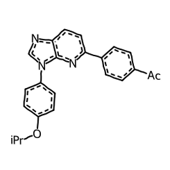 CC(=O)c1ccc(-c2ccc3ncn(-c4ccc(OC(C)C)cc4)c3n2)cc1